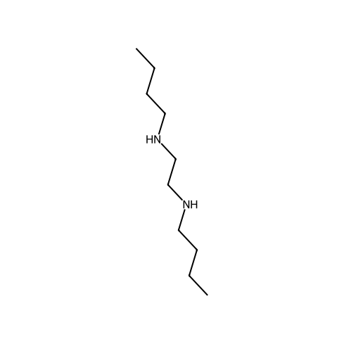 CCCCNCCNCCCC